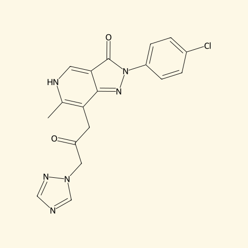 Cc1[nH]cc2c(=O)n(-c3ccc(Cl)cc3)nc-2c1CC(=O)Cn1cncn1